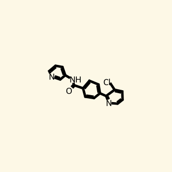 O=C(Nc1cccnc1)c1ccc(-c2ncccc2Cl)cc1